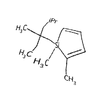 CC1=CC=C[Si]1(C)C(C)(C)C(C)C